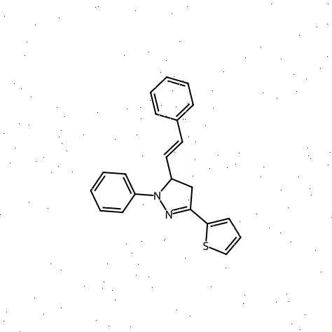 C(=CC1CC(c2cccs2)=NN1c1ccccc1)c1ccccc1